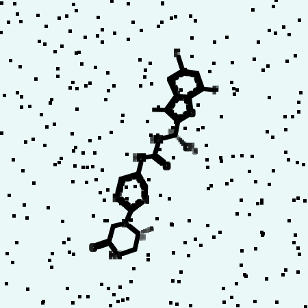 Cc1c([C@@H](NC(=O)Nc2cnc(N3CC(=O)NC[C@H]3C)nc2)C(F)(F)F)oc2c(F)cc(F)cc12